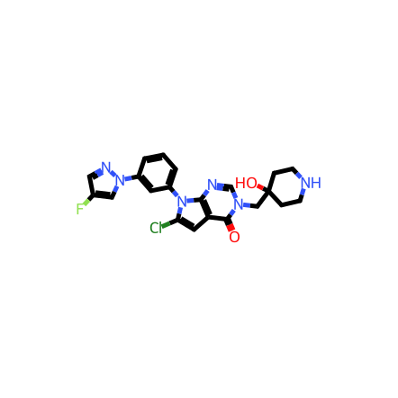 O=c1c2cc(Cl)n(-c3cccc(-n4cc(F)cn4)c3)c2ncn1CC1(O)CCNCC1